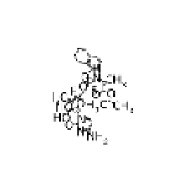 CC(C)OC(=O)[C@H](C)NP(=S)(OC[C@@](F)(O[C@H](CO)n1ccc(N)nc1=O)[C@H](C)O)Oc1cccc2ccccc12